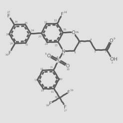 O=C(O)CCC1CN(S(=O)(=O)c2cccc(C(F)(F)F)c2)c2cc(-c3cc(F)cc(F)c3)cc(F)c2O1